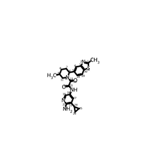 Cc1nc2cc(C3CCC(C)CN3C(=O)C(=O)Nc3cnc(N)c(C4CC4)c3)ccc2s1